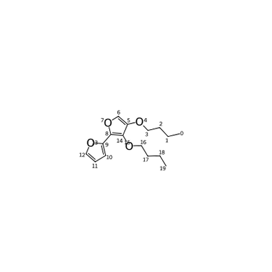 CCCCOc1coc(-c2ccco2)c1OCCCC